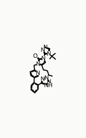 CCCCc1cn(-c2nncn2C(C)(C)C)c(=O)n1Cc1ccc(-c2ccccc2-c2nnn[nH]2)cn1